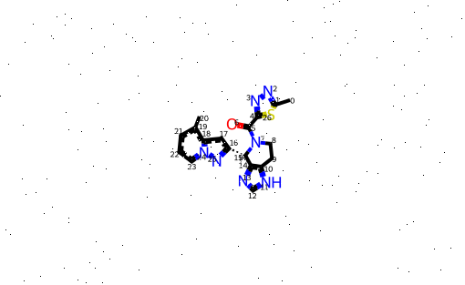 Cc1nnc(C(=O)N2CCc3[nH]cnc3[C@@H]2c2cc3c(C)cccn3n2)s1